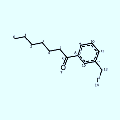 CCCCCCC(=O)c1cccc(CF)c1